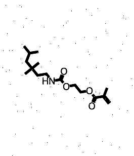 C=C(C)C(=O)OCCOC(=O)NCCC(C)(C)CC(C)C